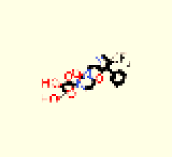 O=c1ccn([C@@H]2O[C@H](CO)C(O)C2O)c(=O)n1Cc1cc(-c2ccccc2)c(C(F)(F)F)cn1